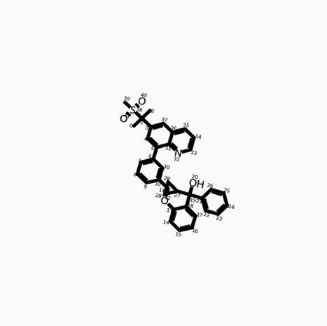 CC(C)(c1cc(-c2cccc(COc3ccccc3C(O)(c3ccccc3)C3CC3)c2)c2ncccc2c1)S(C)(=O)=O